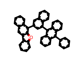 c1ccc(-c2c3ccccc3c(-c3cc(-c4c5ccccc5cc5c4oc4ccccc45)cc4ccccc34)c3ccccc23)cc1